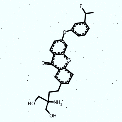 CC(F)c1cccc(Oc2ccc3c(=O)c4cc(CCC(N)(CO)CO)ccc4sc3c2)c1